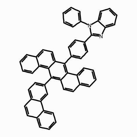 c1ccc(-n2c(-c3ccc(-c4c5ccc6ccccc6c5c(-c5ccc6ccc7ccccc7c6c5)c5ccc6ccccc6c45)cc3)nc3ccccc32)cc1